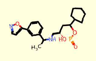 CC(NC[C@@H](O)CC(OP=O)C1CCCCC1)c1cccc(-c2ccno2)c1